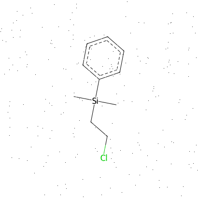 C[Si](C)(CCCl)c1ccccc1